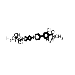 CN(C)C(=O)c1ccc(C2=CCN(C3CC4(C3)CN(C(=O)OC(C)(C)C)C4)CC2)cc1Cl